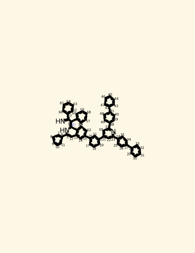 N=C(/C(=C1\NC(c2ccccc2)=Cc2cc(-c3cccc(-c4cc(-c5ccc(-c6ccccc6)cc5)nc(-c5ccc(-c6ccccc6)cc5)c4)c3)ccc21)c1ccccc1)c1ccccc1